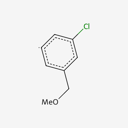 COCc1c[c]cc(Cl)c1